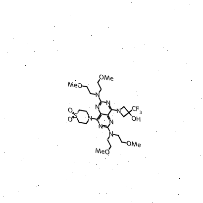 COCCN(CCOC)c1nc(N2CC(O)(C(F)(F)F)C2)c2nc(N(CCOC)CCOC)nc(N3CCS(=O)(=O)CC3)c2n1